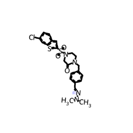 CN(C)/N=C/c1ccc(CN2CCN(S(=O)(=O)c3cc4ccc(Cl)cc4s3)CC2=O)cc1